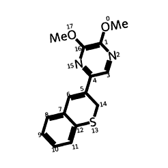 COc1ncc(C2=Cc3ccccc3SC2)nc1OC